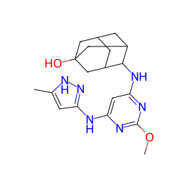 COc1nc(Nc2cc(C)[nH]n2)cc(NC2C3CC4CC2CC(O)(C4)C3)n1